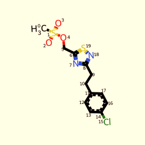 CS(=O)(=O)OCc1nc(CCc2ccc(Cl)cc2)ns1